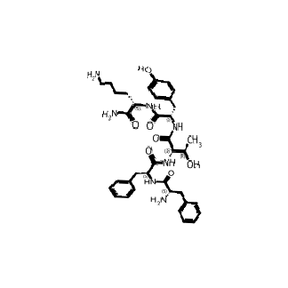 C[C@@H](O)[C@H](NC(=O)[C@H](Cc1ccccc1)NC(=O)[C@@H](N)Cc1ccccc1)C(=O)N[C@@H](Cc1ccc(O)cc1)C(=O)N[C@@H](CCCCN)C(N)=O